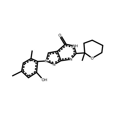 Cc1cc(C)c(-n2cc3c(=O)[nH]c(C4(C)CCCCO4)nc3n2)c(O)c1